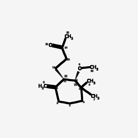 C=C1CCCC(C)(C)[C@@H](OC)[C@H]1CCC(C)=O